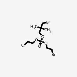 CC(C)(CBr)COP(=O)(OCCCl)OCCBr